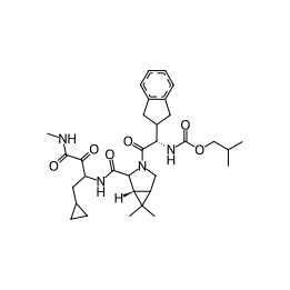 CNC(=O)C(=O)C(CC1CC1)NC(=O)C1[C@@H]2C(CN1C(=O)[C@@H](NC(=O)OCC(C)C)C1Cc3ccccc3C1)C2(C)C